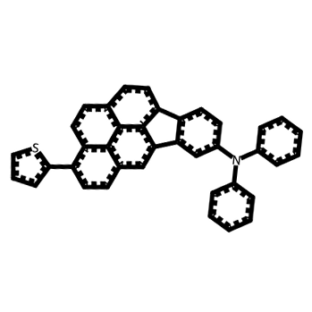 c1ccc(N(c2ccccc2)c2ccc3c(c2)-c2cc4ccc(-c5cccs5)c5ccc6ccc-3c2c6c45)cc1